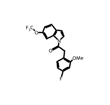 COc1cc(F)ccc1CC(=O)n1ccc2ccc(OC(F)(F)F)cc21